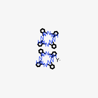 [Y].c1ccc2c(c1)-c1nc-2nc2[nH]c(nc3nc(nc4[nH]c(n1)c1ccccc41)-c1ccccc1-3)c1ccccc21.c1ccc2c(c1)-c1nc-2nc2[nH]c(nc3nc(nc4[nH]c(n1)c1ccccc41)-c1ccccc1-3)c1ccccc21